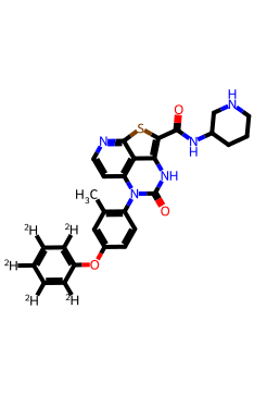 [2H]c1c([2H])c([2H])c(Oc2ccc(N3C(=O)Nc4c(C(=O)NC5CCCNC5)sc5nccc3c45)c(C)c2)c([2H])c1[2H]